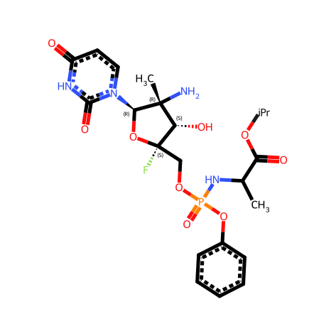 CC(C)OC(=O)C(C)NP(=O)(OC[C@@]1(F)O[C@@H](n2ccc(=O)[nH]c2=O)[C@](C)(N)[C@@H]1O)Oc1ccccc1